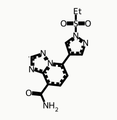 CCS(=O)(=O)n1cc(-c2ccc(C(N)=O)c3n[c]nn23)cn1